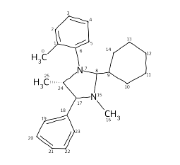 Cc1ccccc1N1C(C2CCCCC2)N(C)C(c2ccccc2)[C@@H]1C